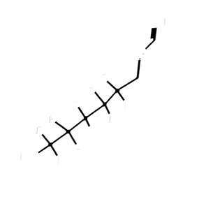 C=COCC(F)(F)C(F)(F)C(F)(F)C(F)(F)C(F)(F)C(F)(F)F